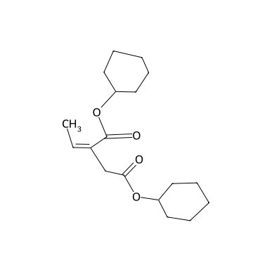 CC=C(CC(=O)OC1CCCCC1)C(=O)OC1CCCCC1